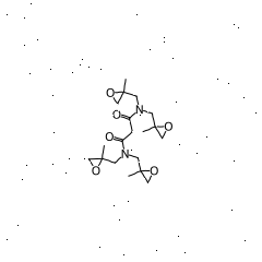 CC1(CN(CC2(C)CO2)C(=O)CC(=O)N(CC2(C)CO2)CC2(C)CO2)CO1